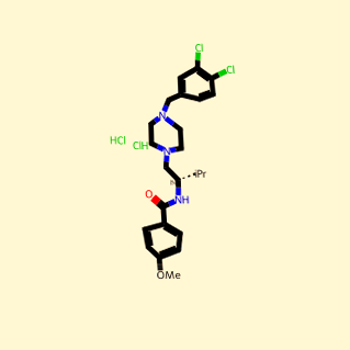 COc1ccc(C(=O)N[C@H](CN2CCN(Cc3ccc(Cl)c(Cl)c3)CC2)C(C)C)cc1.Cl.Cl